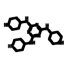 C1CC(Nc2nc(NC3CCNCC3)nc(NC3CCNCC3)n2)CCN1